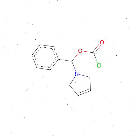 O=C(Cl)OC(c1ccccc1)N1CC=CC1